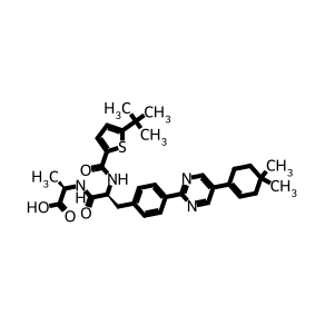 C[C@@H](NC(=O)[C@H](Cc1ccc(-c2ncc(C3=CCC(C)(C)CC3)cn2)cc1)NC(=O)c1ccc(C(C)(C)C)s1)C(=O)O